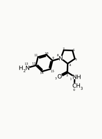 CNC(=O)C1CCCN1c1ccc(N)cc1